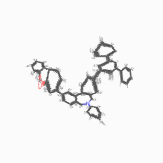 c1ccc(-c2cc(-c3ccccc3)cc(-c3ccc4c(c3)CN(c3ccccc3)Cc3ccc(-c5ccc6c(c5)oc5ccccc56)cc3-4)c2)cc1